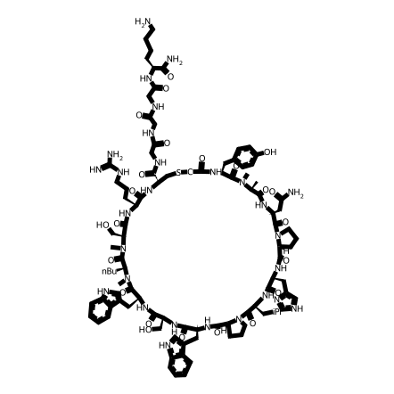 CCCC[C@H]1C(=O)N(C)[C@@H](CO)C(=O)N[C@@H](CCCNC(=N)N)C(=O)N[C@H](C(=O)NCC(=O)NCC(=O)NCC(=O)N[C@@H](CCCCN)C(N)=O)CSCC(=O)N[C@@H](Cc2ccc(O)cc2)C(=O)N(C)[C@@H](C)C(=O)N[C@@H](CC(N)=O)C(=O)N2CCC[C@H]2C(=O)N[C@@H](Cc2c[nH]cn2)C(=O)N[C@@H](CC(C)C)C(=O)N2CCC[C@H]2C(=O)N[C@@H](Cc2c[nH]c3ccccc23)C(=O)N[C@@H](CO)C(=O)N[C@@H](Cc2c[nH]c3ccccc23)C(=O)N1C